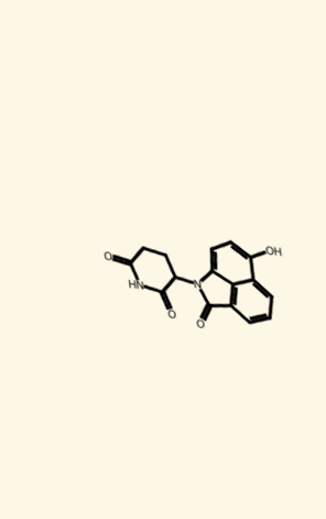 O=C1CCC(N2C(=O)c3cccc4c(O)ccc2c34)C(=O)N1